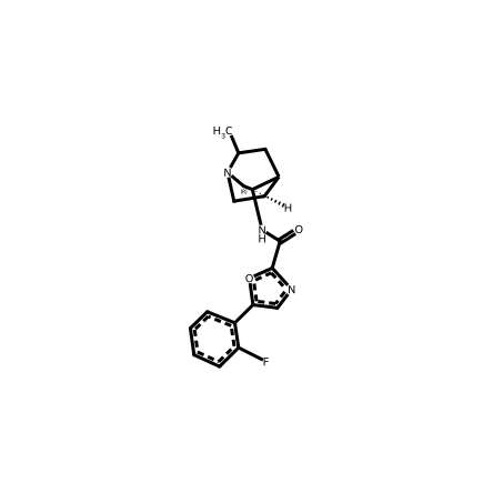 CC1CC2CCN1C[C@@H]2NC(=O)c1ncc(-c2ccccc2F)o1